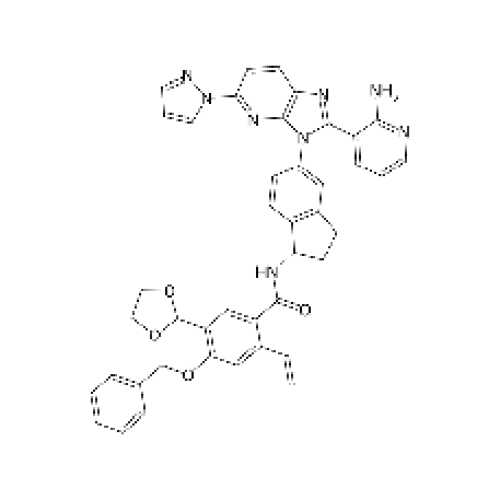 C=Cc1cc(OCc2ccccc2)c(C2OCCO2)cc1C(=O)N[C@H]1CCc2cc(-n3c(-c4cccnc4N)nc4ccc(-n5cccn5)nc43)ccc21